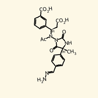 CC(=O)N([C@H](CC(=O)O)c1cccc(C(=O)O)c1)N1C(=O)N[C@](C)(c2ccc(C=NN)cc2)C1=O